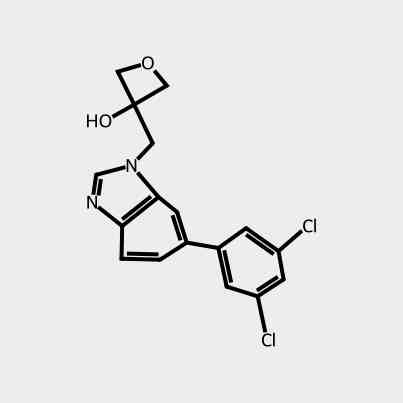 OC1(Cn2cnc3ccc(-c4cc(Cl)cc(Cl)c4)cc32)COC1